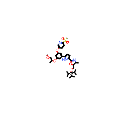 COCC(C)Oc1cc(Oc2ccc(S(C)(=O)=O)nc2)cc(-c2ccc(C3=NC(C)C(CO[Si](C(C)C)(C(C)C)C(C)C)O3)[nH]2)c1